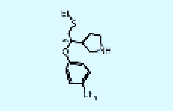 CCSC[C@H](Oc1ccc(C(F)(F)F)cc1)C1CCNC1